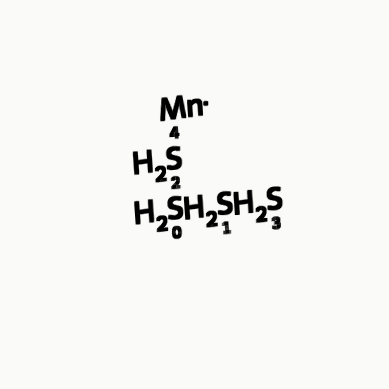 S.S.S.S.[Mn]